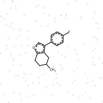 CC1CCc2occ(-c3ccc(F)cc3)c2C1